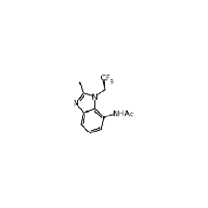 CC(=O)Nc1cccc2nc(C)n(CC(F)(F)F)c12